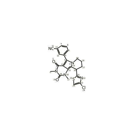 Cn1c(=O)c2c(-c3cccc(C#N)c3)n3c(c2n(C)c1=O)C(c1nc(Cl)cs1)CCC3